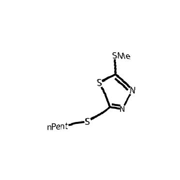 CCCCCSc1nnc(SC)s1